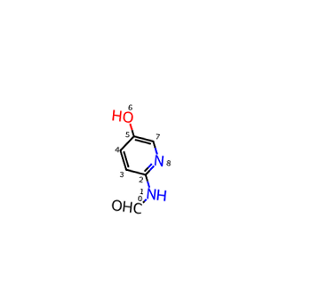 O=CNc1ccc(O)cn1